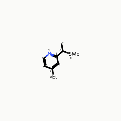 CCc1ccnc(C(C)SC)c1